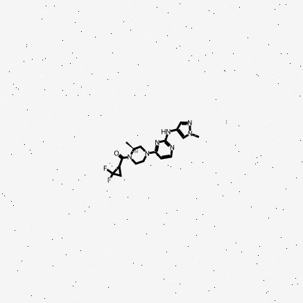 C[C@H]1CN(c2ccnc(Nc3cnn(C)c3)n2)CCN1C(=O)C1CC1(F)F